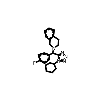 Fc1ccc(C(c2nnnn2C2CCCCC2)N2CCc3ccccc3C2)cc1